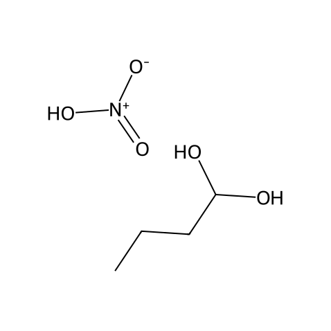 CCCC(O)O.O=[N+]([O-])O